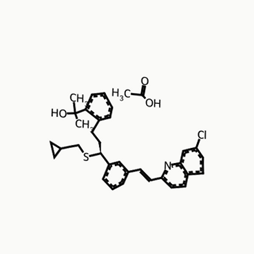 CC(=O)O.CC(C)(O)c1ccccc1CC[C@H](SCC1CC1)c1cccc(C=Cc2ccc3ccc(Cl)cc3n2)c1